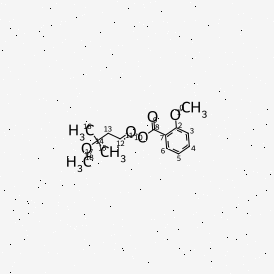 COc1ccccc1C(=O)OO[CH]CC(C)(C)OC